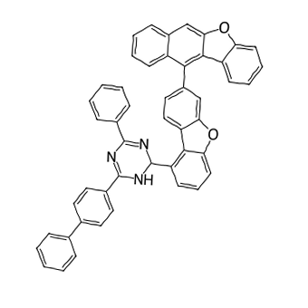 c1ccc(C2=NC(c3cccc4oc5cc(-c6c7ccccc7cc7oc8ccccc8c67)ccc5c34)NC(c3ccc(-c4ccccc4)cc3)=N2)cc1